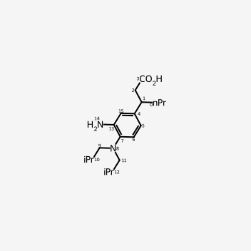 CCCC(CC(=O)O)c1ccc(N(CC(C)C)CC(C)C)c(N)c1